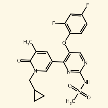 Cc1cc(-c2nc(NS(C)(=O)=O)ncc2Oc2ccc(F)cc2F)cn(CC2CC2)c1=O